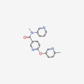 Cc1ccc(Oc2ccc(C(=O)N(C)c3cccnc3)cn2)cn1